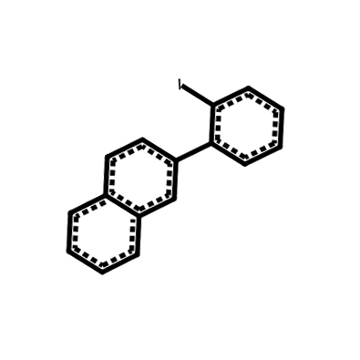 Ic1ccccc1-c1ccc2ccccc2c1